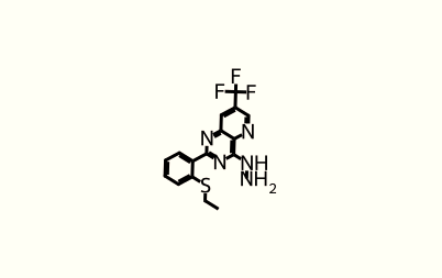 CCSc1ccccc1-c1nc(NN)c2ncc(C(F)(F)F)cc2n1